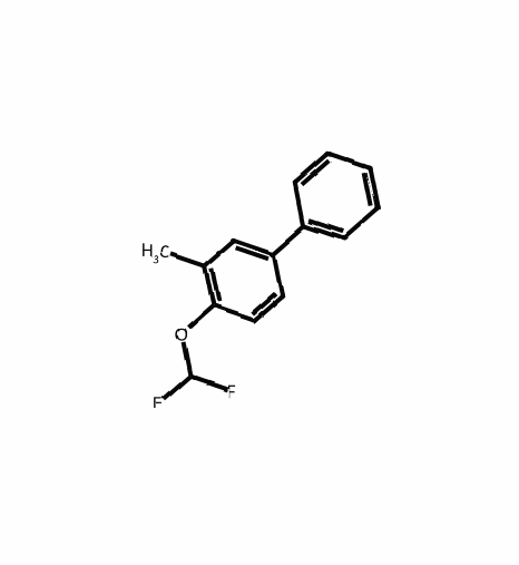 Cc1cc(-c2ccccc2)ccc1OC(F)F